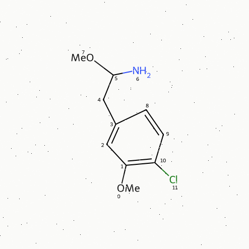 COc1cc(CC(N)OC)ccc1Cl